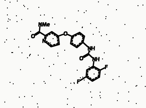 CNC(=O)c1cc(Oc2ccc(NC(=O)Nc3cc(F)ccc3F)cc2)ccn1